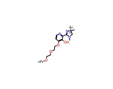 CCCOCCOCCOc1ccnc(C2=N[C@@](C)(C(C)=O)CN2C)c1O